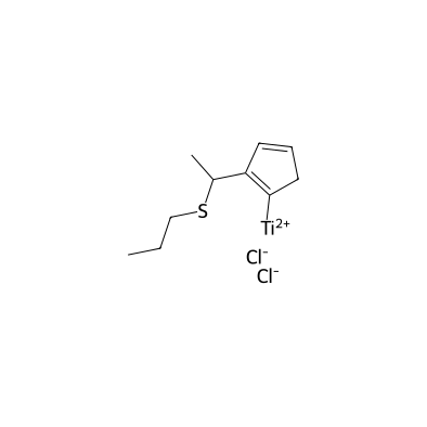 CCCSC(C)C1=[C]([Ti+2])CC=C1.[Cl-].[Cl-]